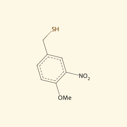 COc1ccc(CS)cc1[N+](=O)[O-]